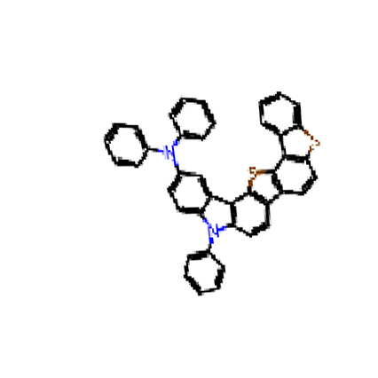 c1ccc(N(c2ccccc2)c2ccc3c(c2)c2c4sc5c(ccc6sc7ccccc7c65)c4ccc2n3-c2ccccc2)cc1